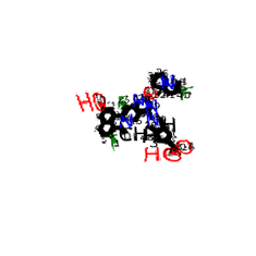 CCc1c(F)ccc2cc(O)cc(-c3ncc4c(N5C[C@H]6CC(C(=O)O)C[C@H]6C5)nc(OC[C@@]56CCCN5C[C@H](F)C6)nc4c3F)c12